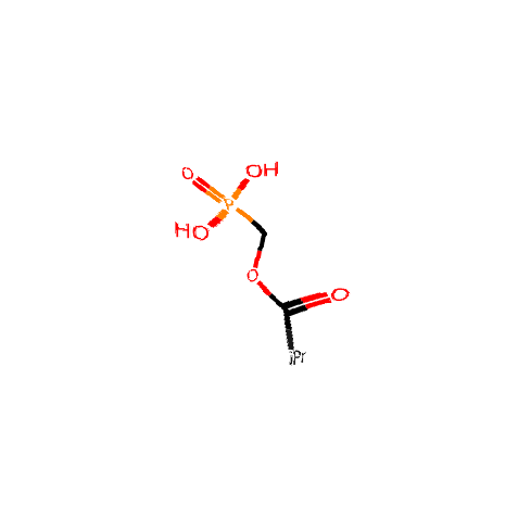 CC(C)C(=O)OCP(=O)(O)O